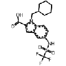 O=C(O)c1cc2cc(NS(=O)(=O)C(F)(F)F)ccc2n1CC1CCCCC1